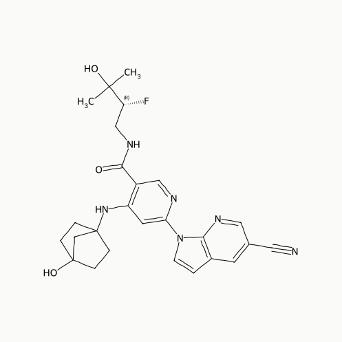 CC(C)(O)[C@H](F)CNC(=O)c1cnc(-n2ccc3cc(C#N)cnc32)cc1NC12CCC(O)(CC1)C2